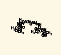 CC(=O)Nc1cc(NCCCNC(=O)CN2CCN(c3ccc(Nc4ncc5c(C)c(C(C)=O)c(=O)n(C6CCCC6)c5n4)nc3)CC2)ccc1C(=O)Nc1nc(C)c([N+](=O)[O-])s1